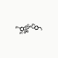 CC(C)c1cc(C(C)C)c(S(=O)(=O)OCC(=O)N(Cc2ccc(C=S)cc2)C(C)C)c(C(C)C)c1